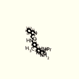 Cc1cc(NC(=O)Cc2cncc3ccccc23)ccc1-c1cnc(N)c(C(=O)NC(C)C)c1